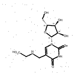 O=C(O)CNCc1cn([C@@H]2O[C@H](CO)[C@@H](O)[C@H]2O)c(=[Se])[nH]c1=O